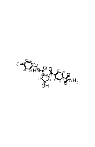 NS(=O)(=O)c1ccc(C(=O)N2C[C@H](O)C[C@H]2C(=O)NCc2ccc(Cl)cc2)cc1